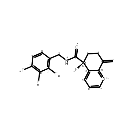 C=C1CC[C@@](F)(C(=O)NCc2ccc(F)c(F)c2F)c2cccnc21